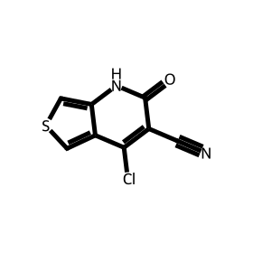 N#Cc1c(Cl)c2cscc2[nH]c1=O